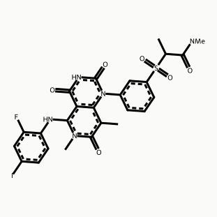 CNC(=O)C(C)S(=O)(=O)c1cccc(-n2c(=O)[nH]c(=O)c3c(Nc4ccc(I)cc4F)n(C)c(=O)c(C)c32)c1